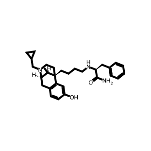 C[C@H]1[C@H]2Cc3ccc(O)cc3[C@@]1(CCCCN[C@@H](Cc1ccccc1)C(N)=O)CCN2CC1CC1